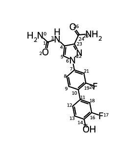 NC(=O)Nc1cn(-c2ccc(-c3ccc(O)c(F)c3)c(F)c2)nc1C(N)=O